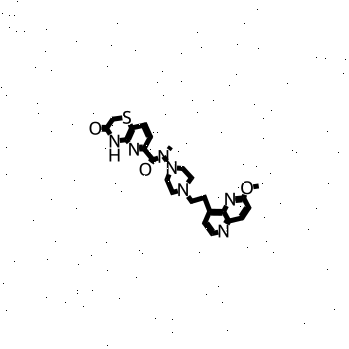 COc1ccc2nccc(CCN3CCN(N(C)C(=O)c4ccc5c(n4)NC(=O)CS5)CC3)c2n1